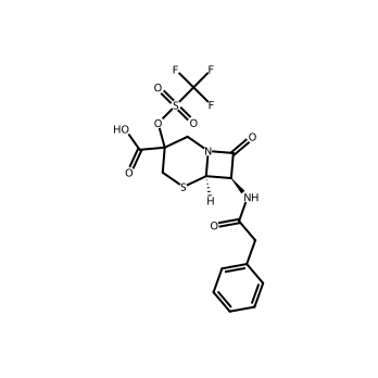 O=C(Cc1ccccc1)N[C@@H]1C(=O)N2CC(OS(=O)(=O)C(F)(F)F)(C(=O)O)CS[C@H]12